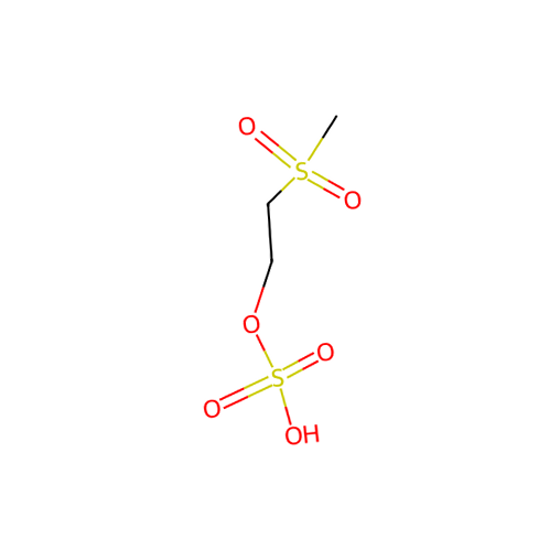 CS(=O)(=O)CCOS(=O)(=O)O